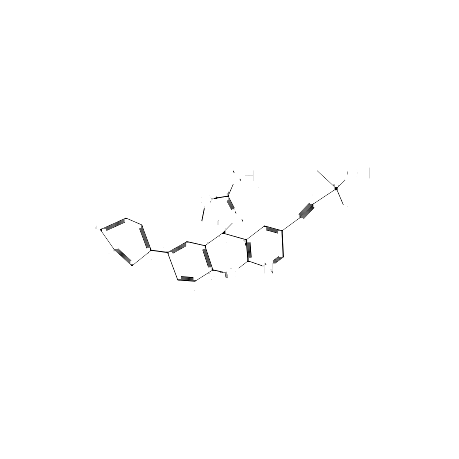 CC(C)(O)C#Cc1cnc2c(c1)[C@@]1(COC(N)=N1)c1cc(-c3ccccc3)ccc1O2